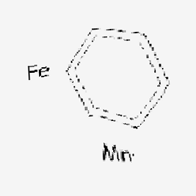 [Fe].[Mn].c1ccccc1